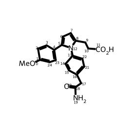 COc1ccc(-c2ccc(CCC(=O)O)n2-c2ccc(CC(N)=O)cc2)cc1